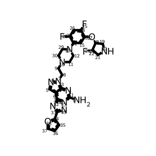 Nc1nc2c(cnn2CCN2CCN(c3cc(O[C@H]4CNC[C@H]4F)c(F)cc3F)CC2)c2nc(-c3ccco3)nn12